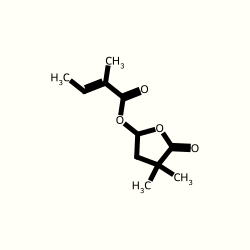 CC=C(C)C(=O)OC1CC(C)(C)C(=O)O1